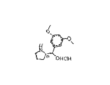 COc1cc(OC)cc(C(O)[C@H]2CCCN2)c1.Cl